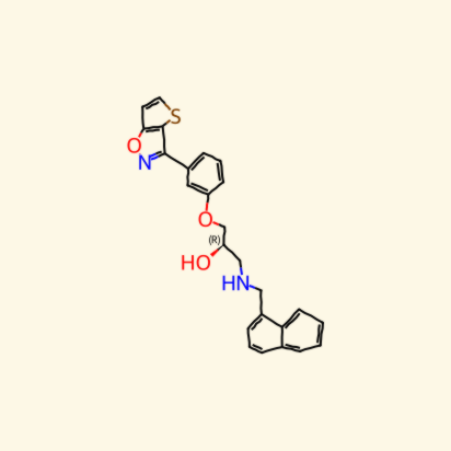 O[C@H](CNCc1cccc2ccccc12)COc1cccc(-c2noc3ccsc23)c1